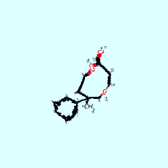 CC1(c2ccccc2)CCOC(=O)C=COC1